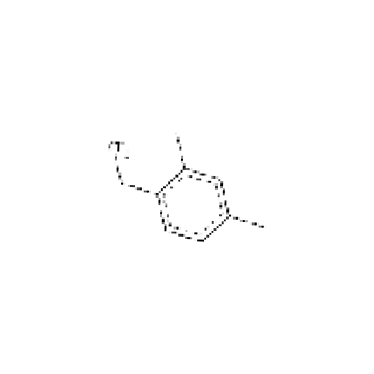 Cc1ccc(CC(F)(F)F)c(C)c1